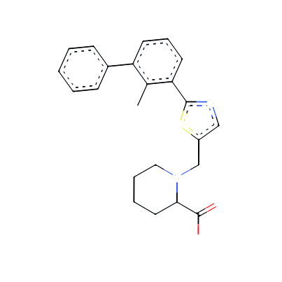 Cc1c(-c2ccccc2)cccc1-c1ncc(CN2CCCCC2C(=O)O)s1